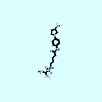 CC(C)S(=O)(=O)NCCCCC(=O)Nc1ccc(N2CCC(O)C2)cc1